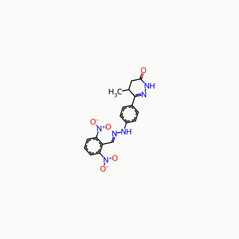 CC1CC(=O)NN=C1c1ccc(N/N=C/c2c([N+](=O)[O-])cccc2[N+](=O)[O-])cc1